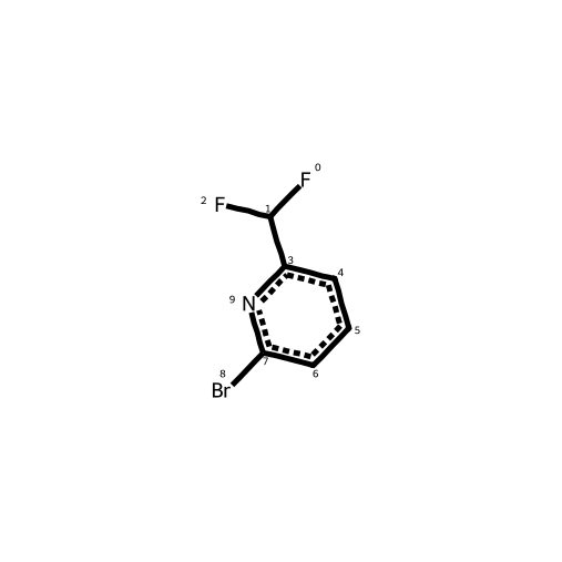 FC(F)c1cccc(Br)n1